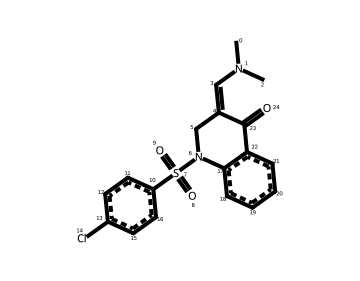 CN(C)C=C1CN(S(=O)(=O)c2ccc(Cl)cc2)c2ccccc2C1=O